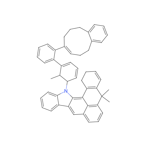 CC1C(c2ccccc2/C2=C/CCc3ccccc3CCC2)=CC=CC1n1c2ccccc2c2cc3cccc4c3c(c21)C1=C(C=CCC1)C4(C)C